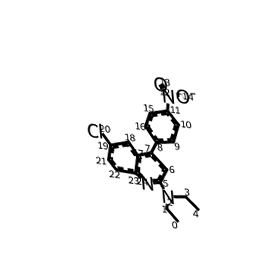 CCN(CC)c1cc(-c2ccc([N+](=O)[O-])cc2)c2cc(Cl)ccc2n1